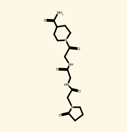 NC(=O)C1CCN(C(=O)CNC(=O)CNC(=O)CN2CCCC2=O)CC1